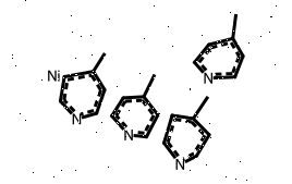 Cc1ccncc1.Cc1ccncc1.Cc1ccncc1.Cc1ccncc1.[Ni]